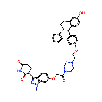 Cn1nc(C2CCC(=O)NC2=O)c2ccc(OCC(=O)N3CCN(CCOc4ccc([C@@H]5c6ccc(O)cc6CC[C@@H]5c5ccccc5)cc4)CC3)cc21